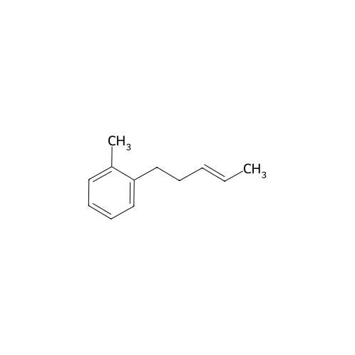 C/C=C/CCc1ccccc1C